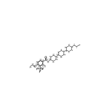 CCCC1CCC(C2CCC(C3CCC(CC(=O)c4ccc(OCC)c(C(F)(F)F)c4C)CC3)CC2)CC1